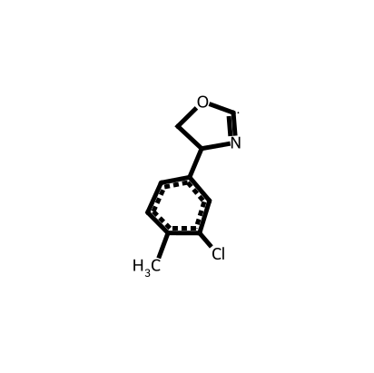 Cc1ccc(C2CO[C]=N2)cc1Cl